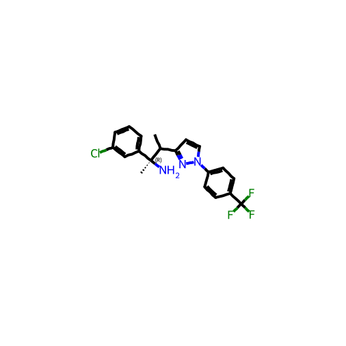 CC(c1ccn(-c2ccc(C(F)(F)F)cc2)n1)[C@@](C)(N)c1cccc(Cl)c1